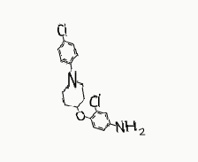 Nc1ccc(OC2CCN(c3ccc(Cl)cc3)CC2)c(Cl)c1